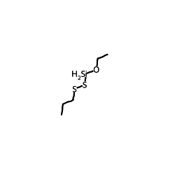 CCCSS[SiH2]OCC